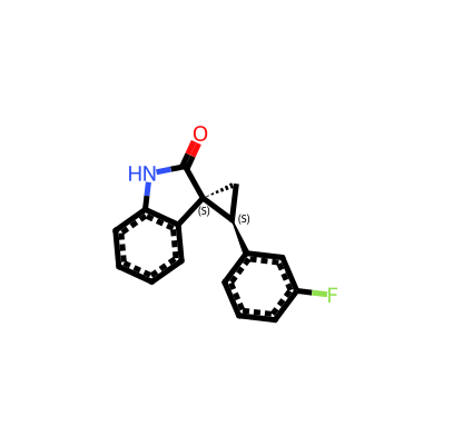 O=C1Nc2ccccc2[C@@]12C[C@H]2c1cccc(F)c1